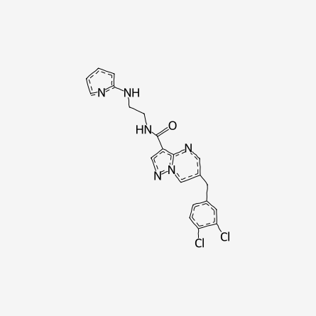 O=C(NCCNc1ccccn1)c1cnn2cc(Cc3ccc(Cl)c(Cl)c3)cnc12